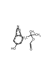 CC(C)(C)OC=O.Oc1ccc2c(c1)c1nn2-1